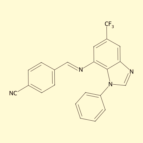 N#Cc1ccc(/C=N/c2cc(C(F)(F)F)cc3ncn(-c4ccccc4)c23)cc1